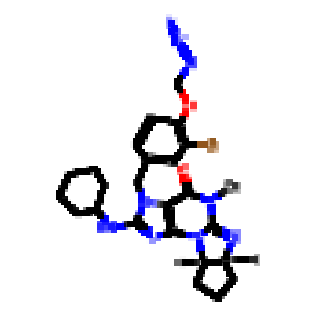 CCN1C(=O)c2c(nc(NC3CCCCC3)n2Cc2ccc(OCN=[N+]=[N-])c(Br)c2)N2C1=N[C@@H]1CCC[C@@H]12